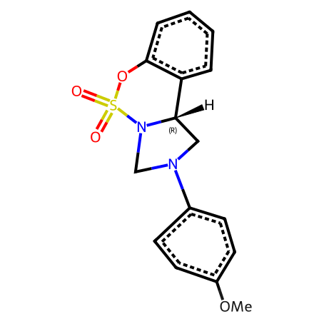 COc1ccc(N2C[C@H]3c4ccccc4OS(=O)(=O)N3C2)cc1